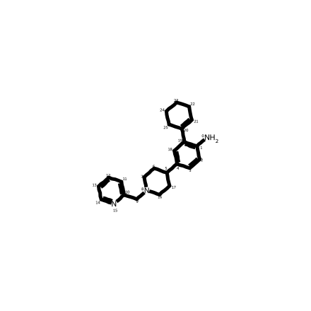 Nc1ccc(C2CCN(Cc3ccccn3)CC2)cc1C1=CCCCC1